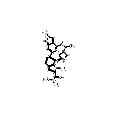 CC(Oc1nc(-c2ccc3cc(C(=O)N(C)C)n(C)c3c2)cc2nn(C)cc12)[C@H]1CNC(=O)C1